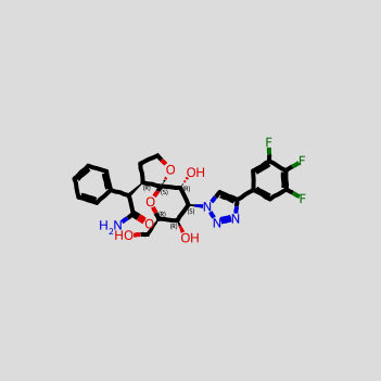 NC(=O)C(c1ccccc1)[C@H]1CCO[C@]12O[C@H](CO)[C@H](O)[C@H](n1cc(-c3cc(F)c(F)c(F)c3)nn1)[C@H]2O